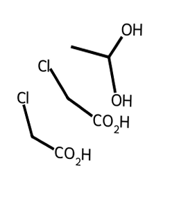 CC(O)O.O=C(O)CCl.O=C(O)CCl